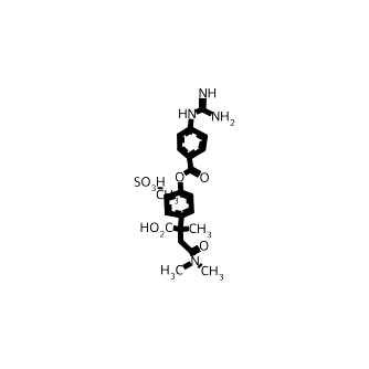 CN(C)C(=O)CC(C)(C(=O)O)c1ccc(OC(=O)c2ccc(NC(=N)N)cc2)cc1.CS(=O)(=O)O